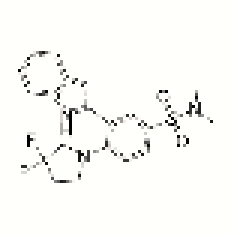 CN(C)S(=O)(=O)c1ccc(N2CCC(F)(F)C2)c(-c2cc3ccccc3[nH]2)c1